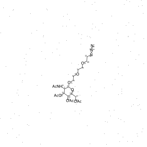 CC(=O)NC1C(OCCOCCOCCN=[N+]=[N-])OC(COC(C)=O)C(OC(C)=O)C1OC(C)=O